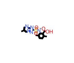 Cc1cnc2nc(S(=O)(=O)N(C)c3c(C)ccc(C)c3C(=O)O)nn2c1